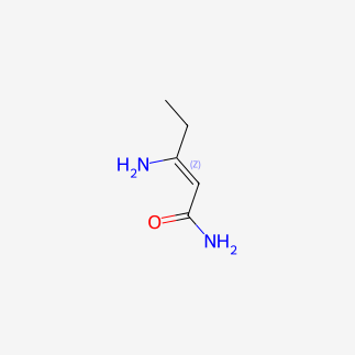 CC/C(N)=C/C(N)=O